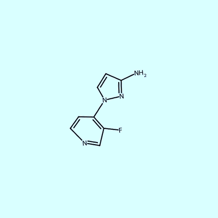 Nc1ccn(-c2ccncc2F)n1